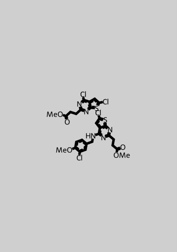 COC(=O)CCc1nc(Cl)c2cc(Cl)sc2n1.COC(=O)CCc1nc(NCc2ccc(OC)c(Cl)c2)c2cc(Cl)sc2n1